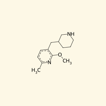 COc1nc(C)ccc1CC1CCCNC1